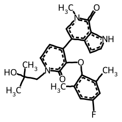 Cc1cc(F)cc(C)c1Oc1c(-c2cn(C)c(=O)c3[nH]ccc23)ccn(CC(C)(C)O)c1=O